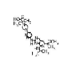 CO[C@H](C)c1cc2cnc(Nc3ccc(N4CCN(C(C)(C)C(=O)O)CC4)nn3)nc2c(NC(C)C)n1